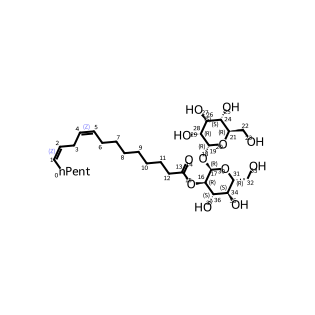 CCCCC/C=C\C/C=C\CCCCCCCC(=O)O[C@H]1[C@@H](O[C@H]2O[C@H](CO)[C@@H](O)[C@H](O)[C@H]2O)O[C@H](CO)[C@@H](O)[C@@H]1O